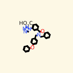 O=C(O)c1ccc(C(=O)N(Cc2ccccc2)Cc2ccc(Oc3ccccc3)cc2)cc1-n1cnnn1